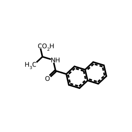 CC(NC(=O)c1ccc2ccccc2c1)C(=O)O